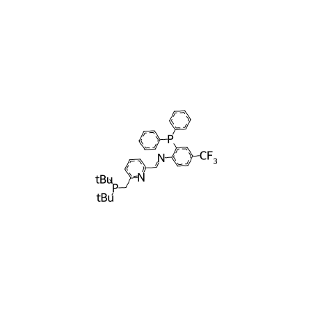 CC(C)(C)P(Cc1cccc(/C=N/c2ccc(C(F)(F)F)cc2P(c2ccccc2)c2ccccc2)n1)C(C)(C)C